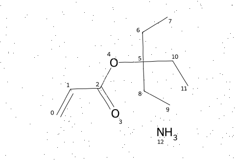 C=CC(=O)OC(CC)(CC)CC.N